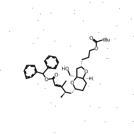 C/C(=C\C(=O)OC(c1ccccc1)c1ccccc1)[C@H](C)C[C@H]1CC[C@@H]2O[C@@H](CCCOC(=O)C(C)(C)C)C[C@]2(CO)O1